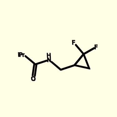 CC(C)C(=O)NCC1CC1(F)F